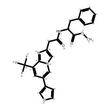 COC(=O)C(Cc1ccccc1)NC(=O)Cc1cn2cc(-c3ccoc3)cc(C(F)(F)F)c2n1